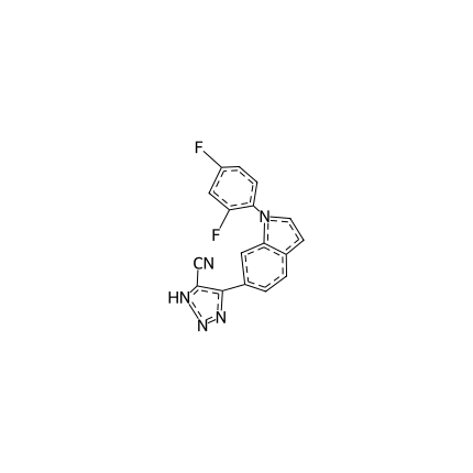 N#Cc1[nH]nnc1-c1ccc2ccn(-c3ccc(F)cc3F)c2c1